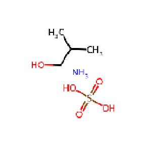 CC(C)CO.N.O=S(=O)(O)O